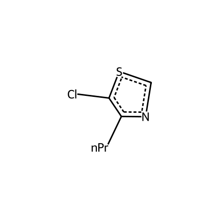 CCCc1ncsc1Cl